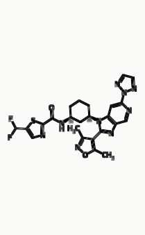 Cc1noc(C)c1-c1nc2cnc(-n3nccn3)cc2n1[C@@H]1CCC[C@H](NC(=O)c2ncc(C(F)F)s2)C1